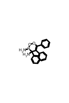 NN1OOC(c2ccccc2)=C(c2ccccc2)C1(N)c1ccccc1